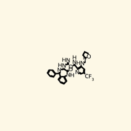 N=C(N[C@H]1N=C(c2ccccc2)c2ccccc2NC1=O)OC(=N)c1ncc(C(F)(F)F)cc1NC[C@H]1CCCO1